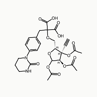 C#C[C@@]1(OC(C)=O)[C@@H](COC(Cc2ccc(N3CCCNC3=O)cc2)(C(=O)O)C(=O)O)OC(OC(C)=O)[C@@H]1OC(C)=O